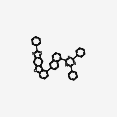 c1ccc(-c2nc(-c3ccccc3)nc(-c3cccc4cc(-c5cccc6oc7cc8nc(-c9ccccc9)sc8cc7c56)ccc34)n2)cc1